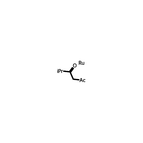 CC(=O)CC(=O)C(C)C.[Ru]